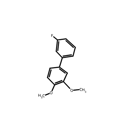 COc1ccc(-c2cccc(F)c2)cc1OC